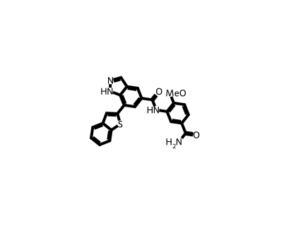 COc1ccc(C(N)=O)cc1NC(=O)c1cc(-c2cc3ccccc3s2)c2[nH]ncc2c1